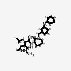 CCCC(C(=O)NN)[C@@H](CC(C)C)C(=O)N[C@H]1CCCCN(Cc2cccc(Oc3ccccc3)c2)C1=O